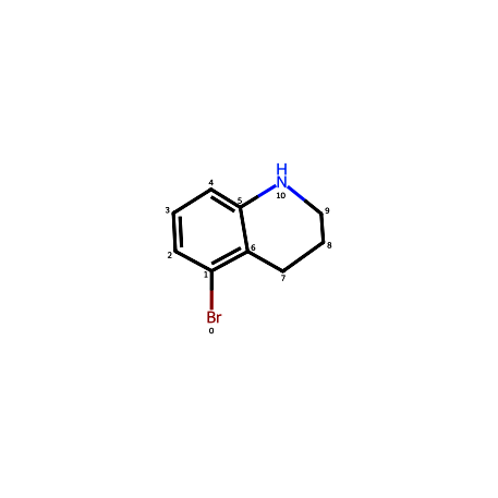 Brc1cccc2c1CCCN2